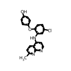 Cc1ccc2c(Nc3cc(Cl)ccc3Oc3ccc(O)cc3)ccnc2n1